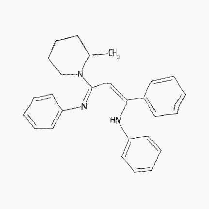 CC1CCCCN1C(C=C(Nc1ccccc1)c1ccccc1)=Nc1ccccc1